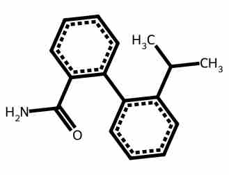 CC(C)c1ccccc1-c1ccccc1C(N)=O